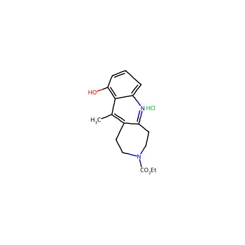 CCOC(=O)N1CCc2nc3cccc(O)c3c(C)c2CC1.Cl